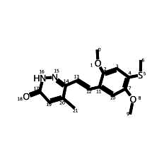 COc1cc(SC)c(OC)cc1/C=C/c1n[nH]c(=O)cc1C